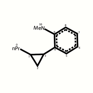 CCCC1CC1c1ccccc1NC